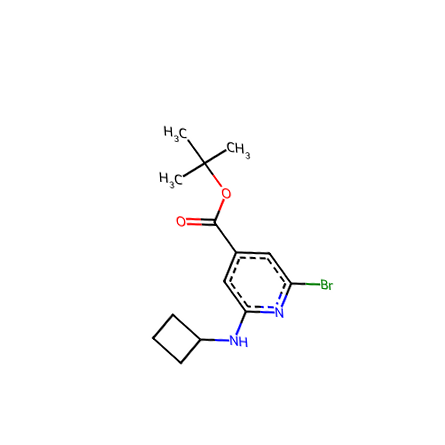 CC(C)(C)OC(=O)c1cc(Br)nc(NC2CCC2)c1